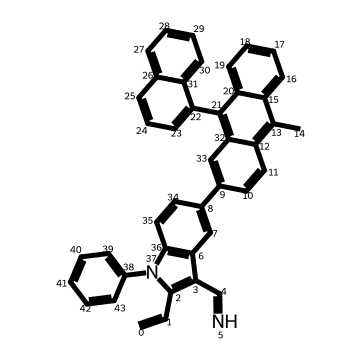 C=Cc1c(C=N)c2cc(-c3ccc4c(C)c5ccccc5c(-c5cccc6ccccc56)c4c3)ccc2n1-c1ccccc1